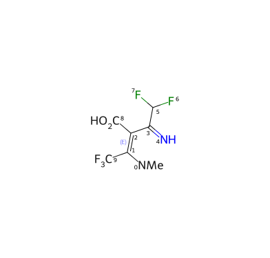 CN/C(=C(\C(=N)C(F)F)C(=O)O)C(F)(F)F